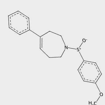 COc1ccc([S+]([O-])N2CCC=C(c3ccccc3)CC2)cc1